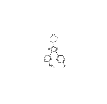 Nc1nccc(-c2[nH]c(C3CCOCC3)nc2-c2ccc(F)cc2)n1